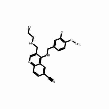 COc1ccc(CNc2c(CNCCO)cnc3ccc(C#N)cc23)cc1Cl